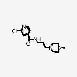 CN1CCN(CCCNC(=O)c2ccnc(Cl)c2)CC1